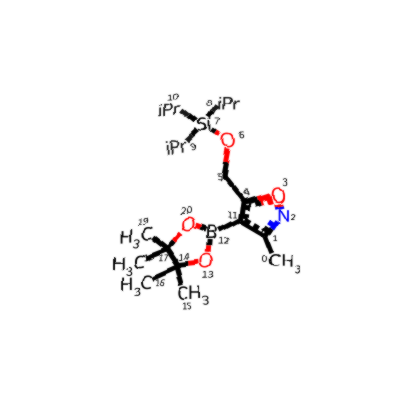 Cc1noc(CO[Si](C(C)C)(C(C)C)C(C)C)c1B1OC(C)(C)C(C)(C)O1